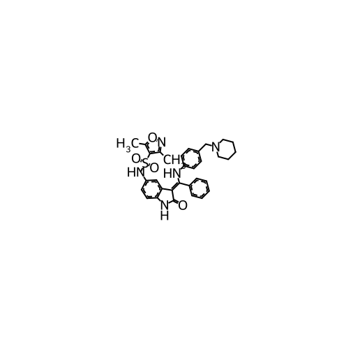 Cc1noc(C)c1S(=O)(=O)Nc1ccc2c(c1)/C(=C(\Nc1ccc(CN3CCCCC3)cc1)c1ccccc1)C(=O)N2